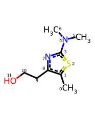 Cc1sc(N(C)C)nc1CCO